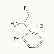 Cl.NC(CF)c1ccccc1F